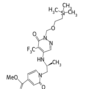 COC(=O)c1ccn(C[C@H](C)Nc2cnn(COCC[Si](C)(C)C)c(=O)c2C(F)(F)F)c(=O)c1